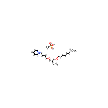 C=C(COCCCCCCCCCCCCCCCC)COCCCC[n+]1ccccc1.CS(=O)(=O)[O-]